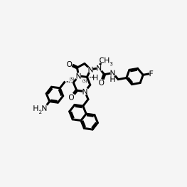 CN(C(=O)NCC1=CCC(F)C=C1)N1CC(=O)N2[C@@H](Cc3ccc(N)cc3)C(=O)N(Cc3cccc4ccccc34)C[C@@H]21